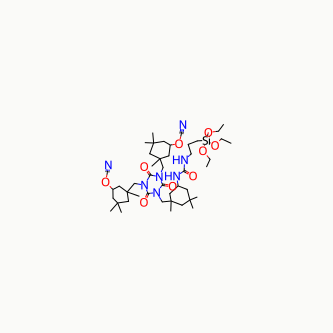 CCO[Si](CCCNC(=O)NC1CC(C)(C)CC(C)(Cn2c(=O)n(CC3(C)CC(OC#N)CC(C)(C)C3)c(=O)n(CC3(C)CC(OC#N)CC(C)(C)C3)c2=O)C1)(OCC)OCC